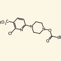 CCOC(=O)c1ccc(N2CCN(OC(=O)C(C)(C)C)CC2)nc1Cl